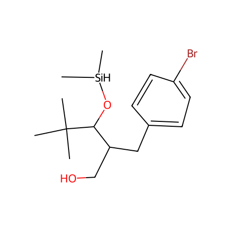 C[SiH](C)OC(C(CO)Cc1ccc(Br)cc1)C(C)(C)C